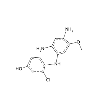 COc1cc(Nc2ccc(O)cc2Cl)c(N)cc1N